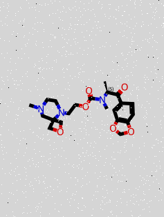 C[C@@H](C(=O)c1ccc2c(c1)OCO2)N(C)C(=O)OCCN1CCN(C)CC12COC2